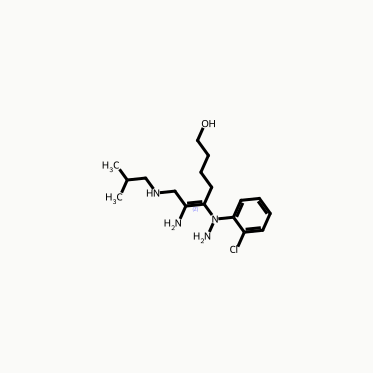 CC(C)CNC/C(N)=C(\CCCCO)N(N)c1ccccc1Cl